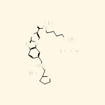 COCCCCN(C)C(=O)c1cn2c(nc3ccc(CNC[C@]4(C)CCCO4)cc32)s1.Cl.Cl